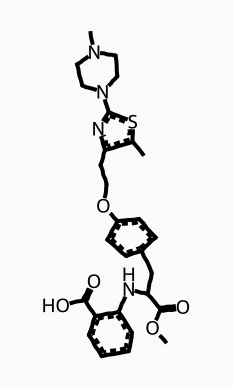 COC(=O)C(Cc1ccc(OCCc2nc(N3CCN(C)CC3)sc2C)cc1)Nc1ccccc1C(=O)O